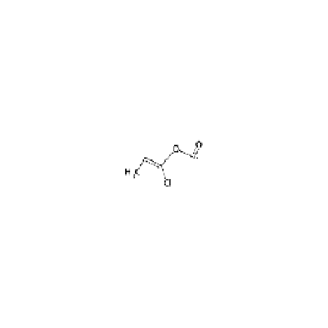 CC=C(Cl)O[C]=O